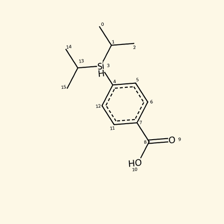 CC(C)[SiH](c1ccc(C(=O)O)cc1)C(C)C